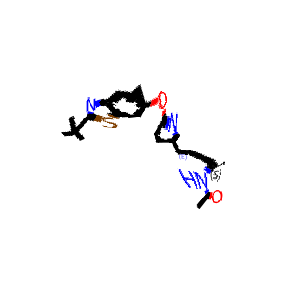 CC(=O)N[C@@H](C)/C=C/c1ccc(Oc2ccc3nc(C(C)(C)C)sc3c2)nc1